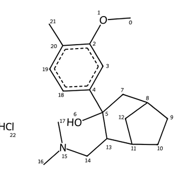 COc1cc(C2(O)CC3CCC(C3)C2CN(C)C)ccc1C.Cl